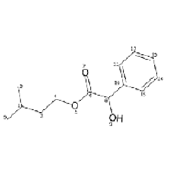 CC(C)CCOC(=O)C(O)c1ccccc1